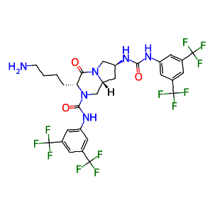 NCCCC[C@@H]1C(=O)N2C[C@@H](NC(=O)Nc3cc(C(F)(F)F)cc(C(F)(F)F)c3)C[C@@H]2CN1C(=O)Nc1cc(C(F)(F)F)cc(C(F)(F)F)c1